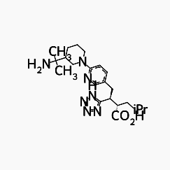 CC(C)C[C@H](C(=O)O)[C@H](Cc1ccc(N2CCCC(C(C)(C)N)C2)nc1)c1nnn[nH]1